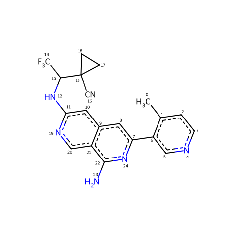 Cc1ccncc1-c1cc2cc(NC(C(F)(F)F)C3(C#N)CC3)ncc2c(N)n1